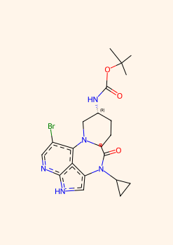 CC(=O)N(c1c[nH]c2ncc(Br)c(N3CCC[C@@H](NC(=O)OC(C)(C)C)C3)c12)C1CC1